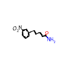 NC(=O)C=CC=Cc1cccc([N+](=O)[O-])c1